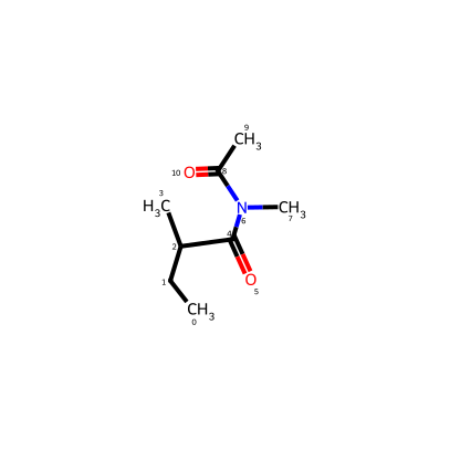 CCC(C)C(=O)N(C)C(C)=O